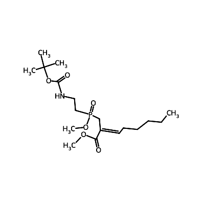 CCCCCC=C(CP(=O)(CCNC(=O)OC(C)(C)C)OC)C(=O)OC